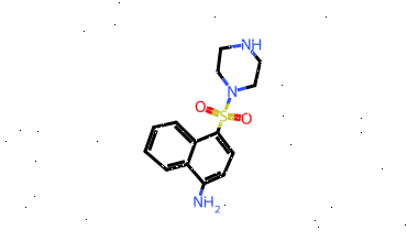 Nc1ccc(S(=O)(=O)N2CCNCC2)c2ccccc12